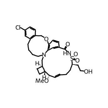 CO[C@H]1/C=C/CC[C@H](CCO)S(=O)(=O)NC(=O)c2ccc3c(c2)N(CCCCc2cc(Cl)ccc2CO3)C[C@@H]2CC[C@H]21